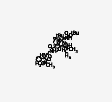 CN(C)C(=O)[C@@H](NC(=O)CNC(=O)C(=O)[C@H](CC1CC1)NC(=O)[C@@H]1[C@@H]2[C@H](CN1C(=O)[C@@H](NC(=O)OC(C)(C)C)C(C)(C)C)C2(C)C)c1ccccc1